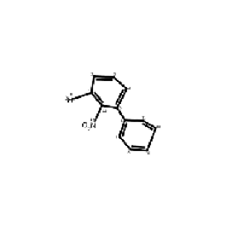 [2H]c1cccc(-c2ccccc2)c1[N+](=O)[O-]